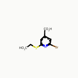 O=C(O)CSc1cc(C(=O)O)cc(Br)n1